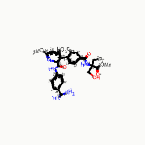 COC(=O)C(CO)(CC(C)C)NC(=O)c1ccc(-c2ccc(OC)nc2C(=O)Nc2ccc(C(=N)N)cc2)c(C(=O)O)c1